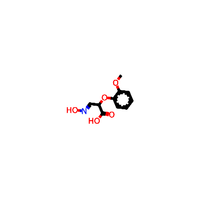 COc1ccccc1OC(C=NO)C(=O)O